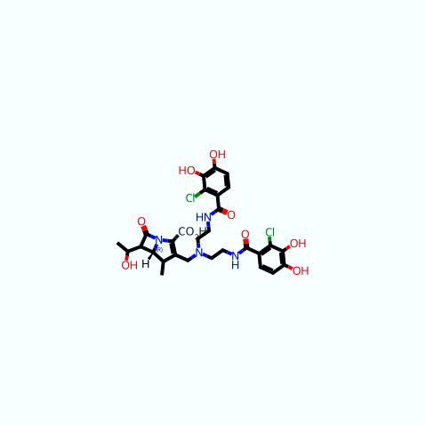 CC(O)C1C(=O)N2C(C(=O)O)=C(CN(CCNC(=O)c3ccc(O)c(O)c3Cl)CCNC(=O)c3ccc(O)c(O)c3Cl)C(C)[C@H]12